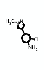 Cn1cc(-c2ccc(N)c(Cl)c2)cn1